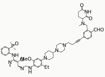 C=N/C(Nc1ccccc1P(C)(C)=O)=C(Cl)\C=N/CNc1cc(CC)c(N2CCC(N3CCN(CCC#Cc4ccc(C=O)c(CN(C)C5CCC(=O)NC5=O)c4)CC3)CC2)cc1OC